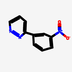 O=[N+]([O-])c1cccc(-c2cccnn2)c1